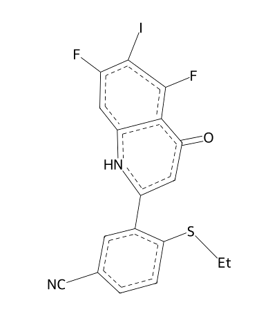 CCSc1ccc(C#N)cc1-c1cc(=O)c2c(F)c(I)c(F)cc2[nH]1